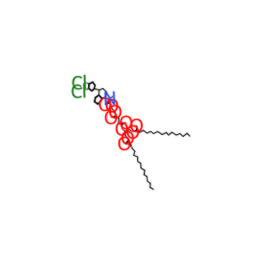 CCCCCCCCCCCCCCCC(=O)OCC(COC(=O)CCCCCCCCCCCCCCC)OC(=O)CCC(=O)OCOC(=O)N(C)[C@H]1CCC(c2ccc(Cl)c(Cl)c2)c2ccccc21